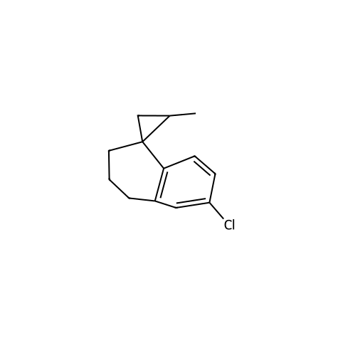 CC1CC12CCCc1cc(Cl)ccc12